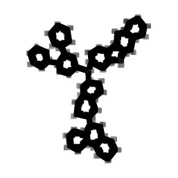 c1ccc(-c2ccc(N(c3ccc4cc(-c5cc6ccccc6c6ccccc56)ccc4c3)c3ccc4c(c3)oc3cc5ccccc5cc34)cc2-c2ccccc2)cc1